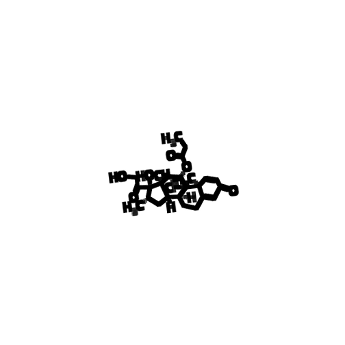 CCC(=O)O[C@H]1C[C@@]2(C)[C@@H](C[C@H](C)[C@]2(O)C(=O)CO)[C@@H]2CCC3=CC(=O)C=C[C@]3(C)[C@@]12Cl